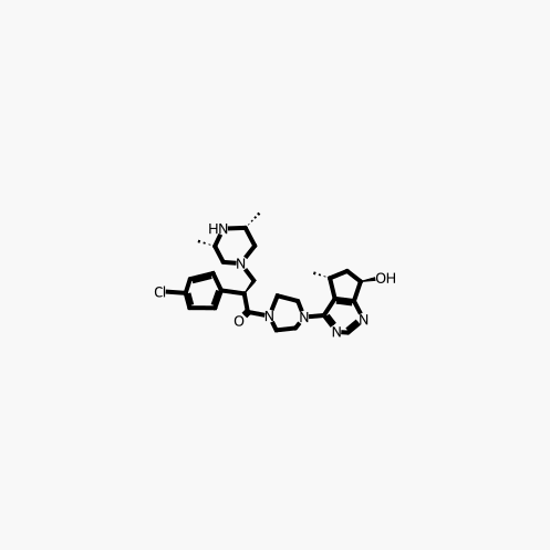 C[C@@H]1CN(C[C@@H](C(=O)N2CCN(c3ncnc4c3[C@H](C)C[C@H]4O)CC2)c2ccc(Cl)cc2)C[C@H](C)N1